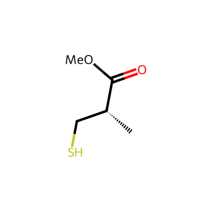 COC(=O)[C@H](C)CS